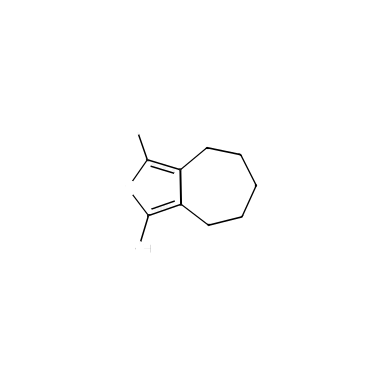 Cc1sc(C)c2c1[CH]CCCC2